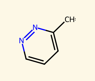 [CH]c1cccnn1